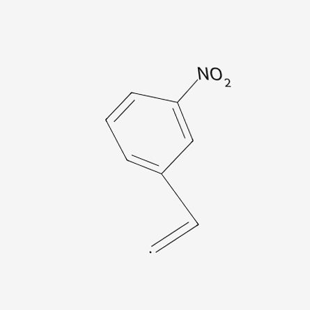 [CH]=Cc1cccc([N+](=O)[O-])c1